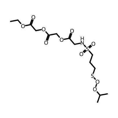 CCOC(=O)COC(=O)COC(=O)CNS(=O)(=O)CCCSOOC(C)C